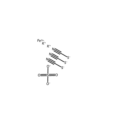 N#C[S-].N#C[S-].N#C[S-].O=S(=O)([O-])[O-].[Fe+3].[K+].[K+]